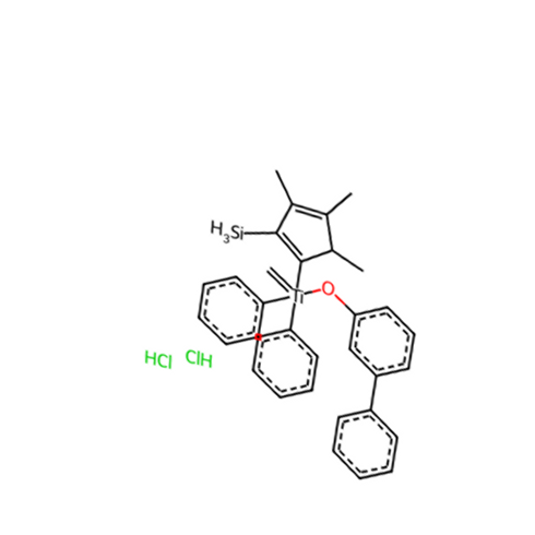 Cl.Cl.[CH2]=[Ti]([O]c1cccc(-c2ccccc2)c1)([C]1=C([SiH3])C(C)=C(C)C1C)([c]1ccccc1)[c]1ccccc1